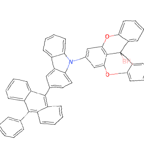 BC12c3ccccc3Oc3cc(-n4c5ccccc5c5cc(-c6c7ccccc7c(-c7ccccc7)c7ccccc67)ccc54)cc(c31)Oc1ccccc12